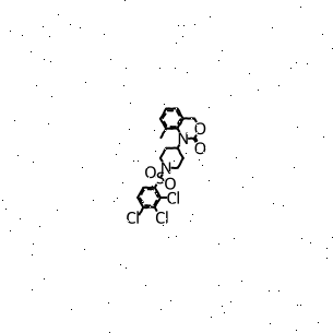 Cc1cccc2c1N(C1CCN(S(=O)(=O)c3ccc(Cl)c(Cl)c3Cl)CC1)C(=O)OC2